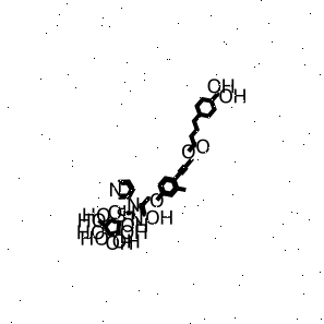 Cc1cc(OCc2c(O)nc(SC3(O)C(O)(O)C(O)(O)C(O)(O)C3(O)O)n2-c2cccnc2)ccc1C#CCOC(=O)CCCC1CCC(C(O)O)CC1